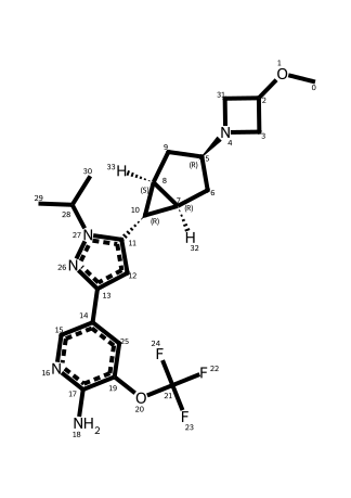 COC1CN([C@H]2C[C@@H]3[C@H](C2)[C@H]3c2cc(-c3cnc(N)c(OC(F)(F)F)c3)nn2C(C)C)C1